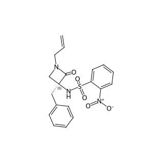 C=CCN1C[C@](Cc2ccccc2)(NS(=O)(=O)c2ccccc2[N+](=O)[O-])C1=O